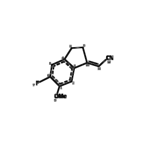 COc1cc2c(cc1F)CCC2=CC#N